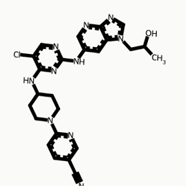 CC(O)Cn1cnc2ncc(Nc3ncc(Cl)c(NC4CCN(c5ccc(C#N)cn5)CC4)n3)cc21